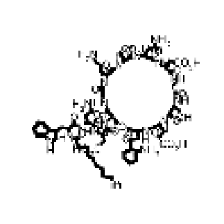 CC(C)CCCCCCCCC(=O)NC(Cc1c[nH]c2ccccc12)C(=O)NC(CC(N)=O)C(=O)NC(CC(=O)O)C(=O)NC1C(=O)NCC(=O)NC(CCCN)C(=O)NC(CC(=O)O)C(=O)NC(CC(N)=O)C(=O)NC(CC(=O)O)C(=O)NCC(=O)NC(CO)C(=O)NC(CCC(=O)O)C(=O)NC(CC(=O)c2ccccc2N)C(=O)OC1C